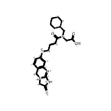 O=C(O)CN(CC1CCCCC1)C(=O)CCCOc1ccc2c(c1)N=C1NC(=O)CN1C2